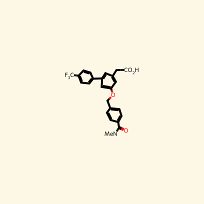 CNC(=O)c1ccc(COc2cc(CC(=O)O)cc(-c3ccc(C(F)(F)F)cc3)c2)cc1